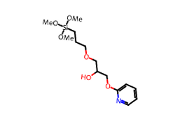 CO[Si](CCCOCC(O)COc1ccccn1)(OC)OC